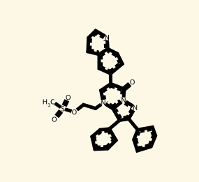 CS(=O)(=O)OCCn1cc(-c2ccc3ncccc3c2)c(=O)n2nc(-c3ccccc3)c(-c3ccccc3)c12